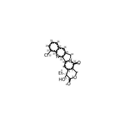 CC[C@@]1(O)C(=O)OCc2c1cc1n(c2=O)Cc2cc3cccc(Cl)c3nc2-1